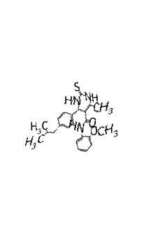 COc1ccccc1NC(=O)C1=C(C)NC(=S)NC1c1ccc(CC(C)C)cc1